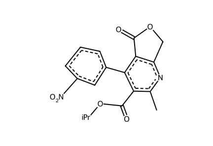 Cc1nc2c(c(-c3cccc([N+](=O)[O-])c3)c1C(=O)OC(C)C)C(=O)OC2